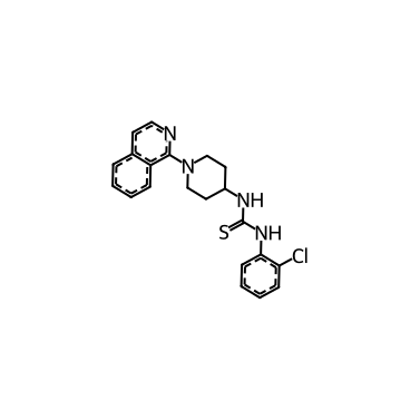 S=C(Nc1ccccc1Cl)NC1CCN(c2nccc3ccccc23)CC1